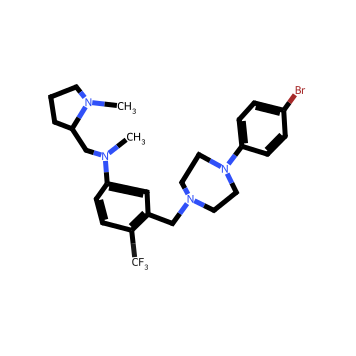 CN(CC1CCCN1C)c1ccc(C(F)(F)F)c(CN2CCN(c3ccc(Br)cc3)CC2)c1